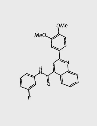 COc1ccc(-c2cc(C(=O)Nc3cccc(F)c3)c3ccccc3n2)cc1OC